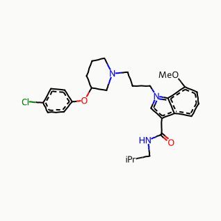 COc1cccc2c(C(=O)NCC(C)C)cn(CCCN3CCCC(Oc4ccc(Cl)cc4)C3)c12